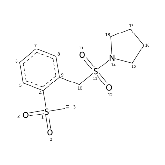 O=S(=O)(F)c1ccccc1CS(=O)(=O)N1CCCC1